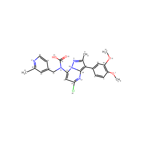 COc1ccc(-c2c(C)nn3c(N(Cc4ccnc(C)c4)C(=O)O)cc(Cl)nc23)cc1OC